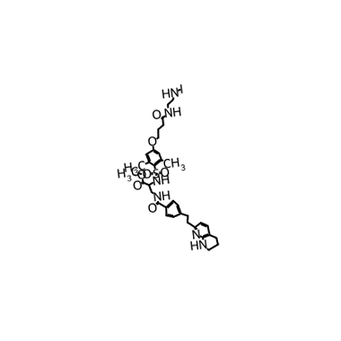 COC(=O)C(CNC(=O)c1ccc(CCc2ccc3c(n2)NCCC3)cc1)NS(=O)(=O)c1c(C)cc(OCCCC(=O)NCCNI)cc1C